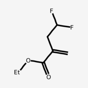 C=C(CC(F)F)C(=O)OCC